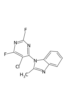 Cc1nc2ccccc2n1-c1nc(F)nc(F)c1Cl